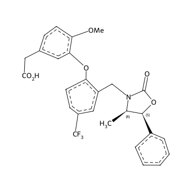 COc1ccc(CC(=O)O)cc1Oc1ccc(C(F)(F)F)cc1CN1C(=O)O[C@@H](c2ccccc2)[C@H]1C